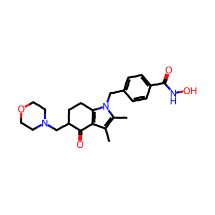 Cc1c2c(n(Cc3ccc(C(=O)NO)cc3)c1C)CCC(CN1CCOCC1)C2=O